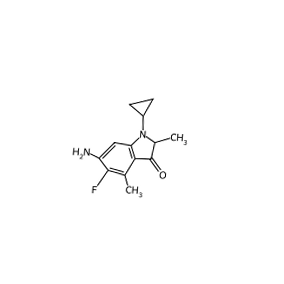 Cc1c(F)c(N)cc2c1C(=O)C(C)N2C1CC1